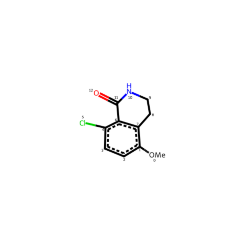 COc1ccc(Cl)c2c1CCNC2=O